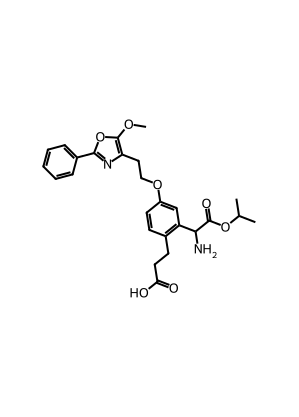 COc1oc(-c2ccccc2)nc1CCOc1ccc(CCC(=O)O)c(C(N)C(=O)OC(C)C)c1